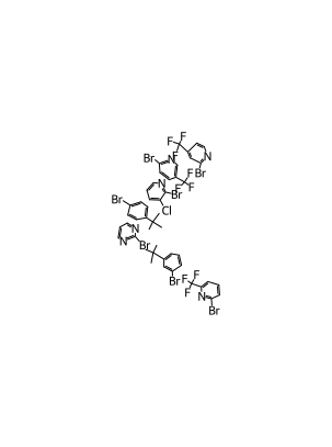 Brc1ncccn1.CC(C)(C)c1ccc(Br)cc1.CC(C)(C)c1cccc(Br)c1.Clc1cccnc1Br.FC(F)(F)c1ccc(Br)nc1.FC(F)(F)c1cccc(Br)n1.FC(F)(F)c1ccnc(Br)c1